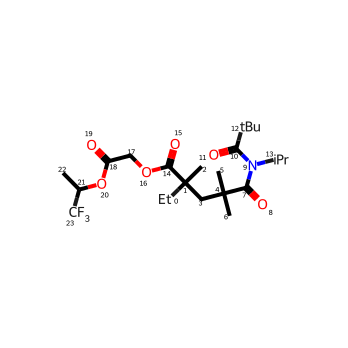 CCC(C)(CC(C)(C)C(=O)N(C(=O)C(C)(C)C)C(C)C)C(=O)OCC(=O)OC(C)C(F)(F)F